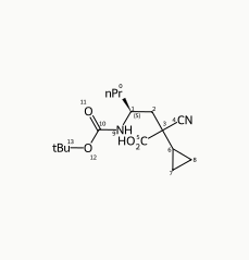 CCC[C@@H](CC(C#N)(C(=O)O)C1CC1)NC(=O)OC(C)(C)C